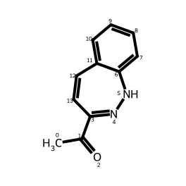 CC(=O)C1=NNc2ccccc2C=C1